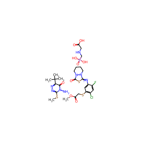 COC(=O)CSc1cc(/N=c2\sc(=O)n3n2CCCC3)c(F)cc1Cl.CSc1nnc(C(C)(C)C)c(=O)n1N.O=C(O)CNCP(=O)(O)O